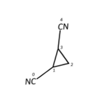 N#CC1CC1C#N